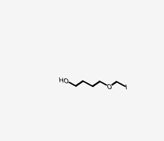 OCCCCOCI